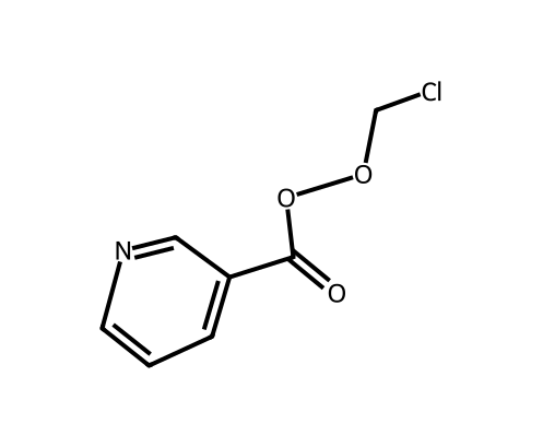 O=C(OOCCl)c1cccnc1